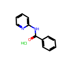 Cl.O=C(Nc1ccccn1)c1ccccc1